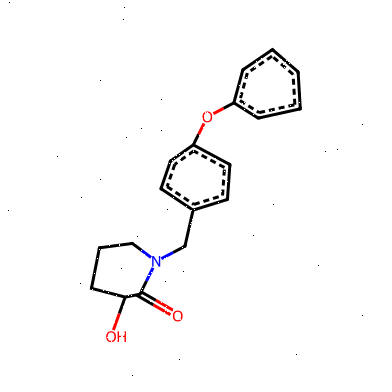 O=C1C(O)CCCN1Cc1ccc(Oc2ccccc2)cc1